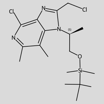 Cc1nc(Cl)c2nc(CCl)n([C@@H](C)CO[Si](C)(C)C(C)(C)C)c2c1C